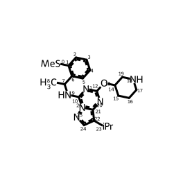 CSc1ccccc1C(C)Nc1nc(OC2CCCNC2)nc2c(C(C)C)cnn12